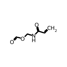 C=CC(=O)NCOC=O